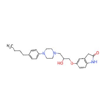 CCCCc1ccc(N2CCN(CC(O)COc3ccc4c(c3)CC(=O)N4)CC2)cc1